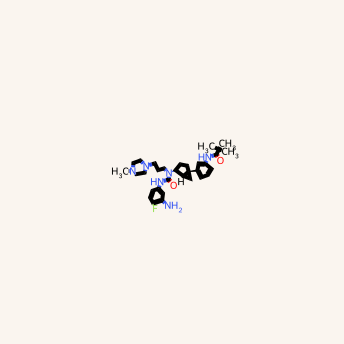 CN1CCN(CCCN(C(=O)Nc2ccc(F)c(N)c2)[C@@H]2CC[C@]3(c4cccc(NC(=O)C(C)(C)C)c4)C[C@H]23)CC1